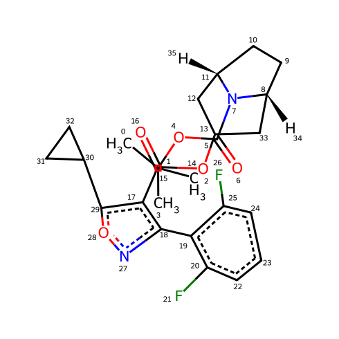 CC(C)(C)OC(=O)N1[C@@H]2CC[C@H]1CC(OC(=O)c1c(-c3c(F)cccc3F)noc1C1CC1)C2